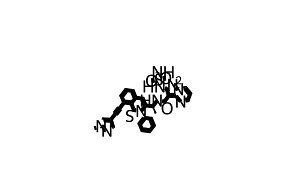 C[C@H](NC(=O)c1c(NS(N)(=O)=O)nn2cccnc12)c1cc2cccc(C#Cc3cnn(C)c3)c2c(=S)n1-c1ccccc1